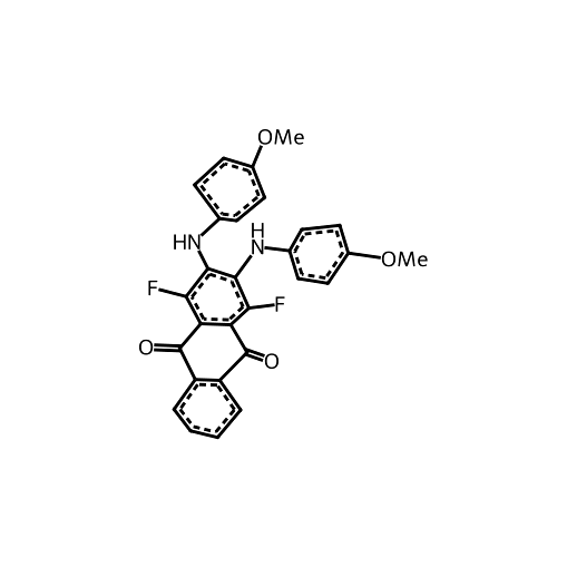 COc1ccc(Nc2c(F)c3c(c(F)c2Nc2ccc(OC)cc2)C(=O)c2ccccc2C3=O)cc1